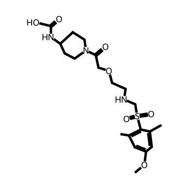 COc1cc(C)c(S(=O)(=O)CNCCOCC(=O)N2CCC(NC(=O)O)CC2)c(C)c1